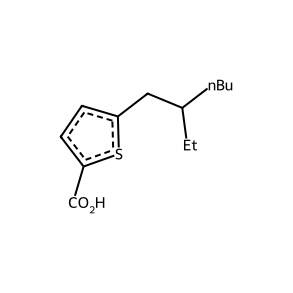 CCCCC(CC)Cc1ccc(C(=O)O)s1